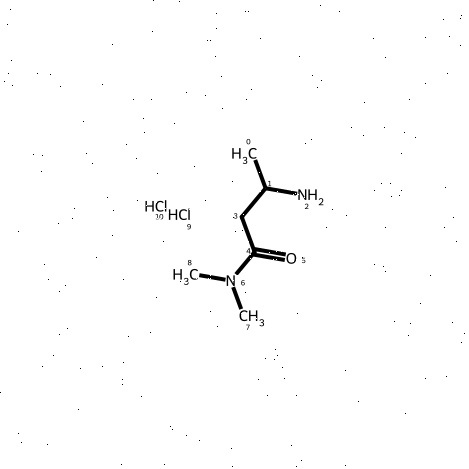 CC(N)CC(=O)N(C)C.Cl.Cl